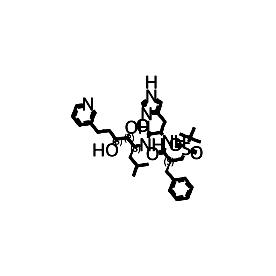 CC(C)C[C@H](NC(=O)C(Cc1c[nH]cn1)NC(=O)[C@H](Cc1ccccc1)CS(=O)(=O)C(C)(C)C)[C@@H](O)[C@@H](O)CCc1cccnc1